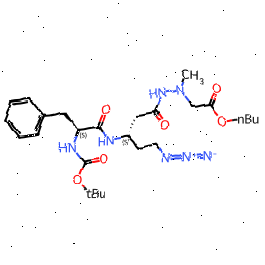 CCCCOC(=O)CN(C)NC(=O)C[C@H](CCN=[N+]=[N-])NC(=O)[C@H](Cc1ccccc1)NC(=O)OC(C)(C)C